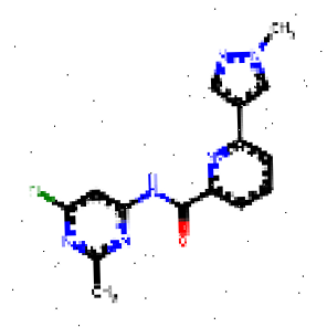 Cc1nc(Cl)cc(NC(=O)c2cccc(-c3cnn(C)c3)n2)n1